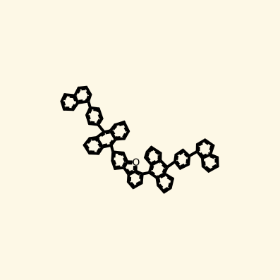 c1ccc2c(-c3ccc(-c4c5ccccc5c(-c5ccc6c(c5)oc5c(-c7c8ccccc8c(-c8ccc(-c9cccc%10ccccc9%10)cc8)c8ccccc78)cccc56)c5ccccc45)cc3)cccc2c1